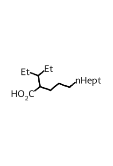 CCCCCCCCCCC(C(=O)O)C(CC)CC